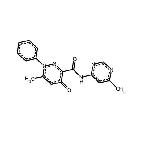 Cc1cc(NC(=O)c2nn(-c3ccccc3)c(C)cc2=O)ncn1